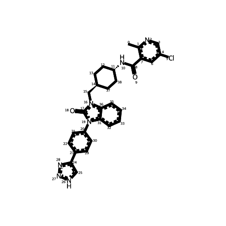 Cc1ncc(Cl)cc1C(=O)N[C@H]1CC[C@H](Cn2c(=O)n(-c3ccc(-c4c[nH]nn4)cc3)c3ccccc32)CC1